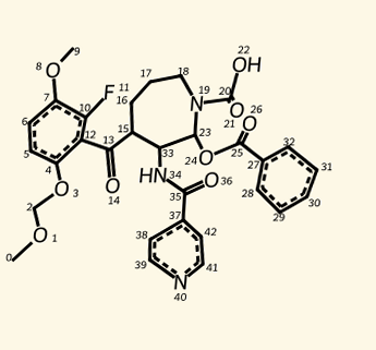 COCOc1ccc(OC)c(F)c1C(=O)C1CCCN(C(=O)O)C(OC(=O)c2ccccc2)C1NC(=O)c1ccncc1